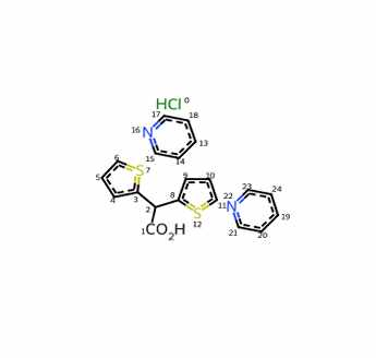 Cl.O=C(O)C(c1cccs1)c1cccs1.c1ccncc1.c1ccncc1